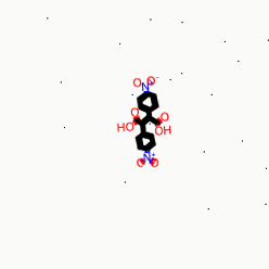 O=C(O)C(=C(C(=O)O)c1ccc([N+](=O)[O-])cc1)c1ccc([N+](=O)[O-])cc1